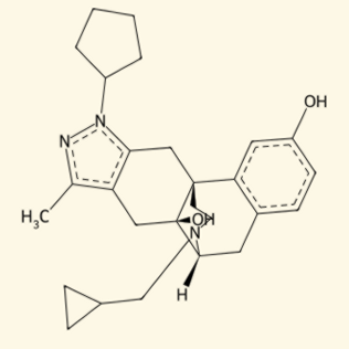 Cc1nn(C2CCCC2)c2c1C[C@@]1(O)[C@H]3Cc4ccc(O)cc4[C@@]1(CCN3CC1CC1)C2